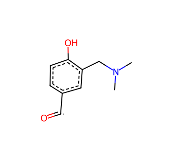 CN(C)Cc1cc([C]=O)ccc1O